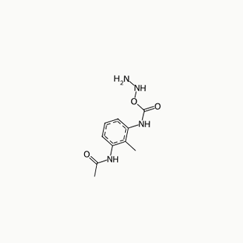 CC(=O)Nc1cccc(NC(=O)ONN)c1C